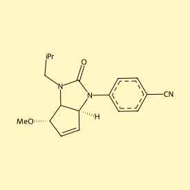 CO[C@H]1C=C[C@H]2C1N(CC(C)C)C(=O)N2c1ccc(C#N)cc1